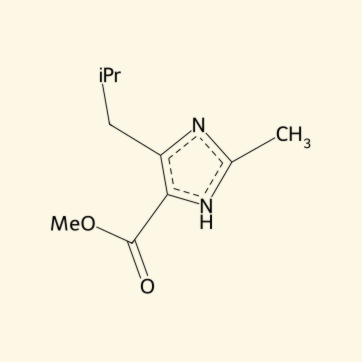 COC(=O)c1[nH]c(C)nc1CC(C)C